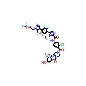 Cc1c(-c2ccc(-c3cnc(C(=O)Nc4ccc(C(=O)N5CCN(C(=O)[C@@H]6C[C@@H](O)C[N+]6(C)C)CC5)c(Cl)c4)n3C)c(F)c2F)cnn1CCOC(F)F